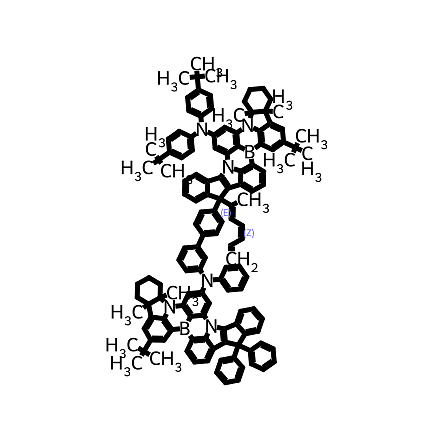 C=C/C=C\C=C(/C)C1(c2ccc(-c3cccc(N(c4ccccc4)c4cc5c6c(c4)-n4c7c(c8cccc(c84)B6c4cc(C(C)(C)C)cc6c4N5C4(C)CCCCC64C)C(c4ccccc4)(c4ccccc4)c4ccccc4-7)c3)cc2)c2ccccc2-c2c1c1cccc3c1n2-c1cc(N(c2ccc(C(C)(C)C)cc2)c2ccc(C(C)(C)C)cc2)cc2c1B3c1cc(C(C)(C)C)cc3c1N2C1(C)CCCCC31C